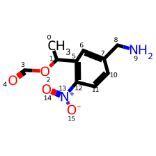 CC(OC=O)c1cc(CN)ccc1[N+](=O)[O-]